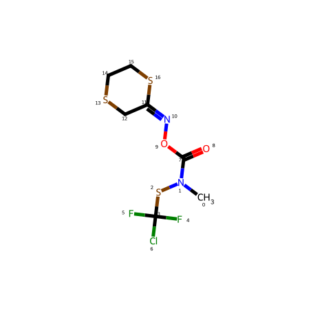 CN(SC(F)(F)Cl)C(=O)ON=C1CSCCS1